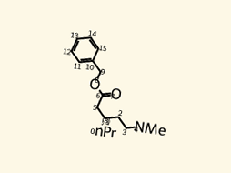 CCC[C@@H](CCNC)CC(=O)OCc1ccccc1